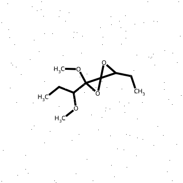 CCC(OC)C1(OC)OC12OC2CC